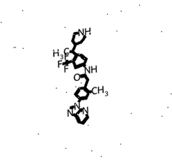 Cc1cc(-n2cnc3cccnc32)ccc1CC(=O)Nc1ccc(C(C)C2CCNCC2)c(C(F)(F)F)c1